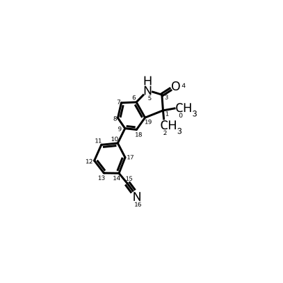 CC1(C)C(=O)Nc2ccc(-c3cccc(C#N)c3)cc21